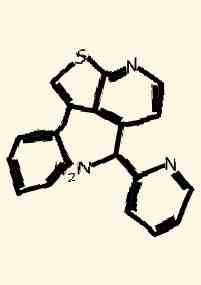 NC(c1ccccn1)c1ccnc2scc(-c3ccccc3)c12